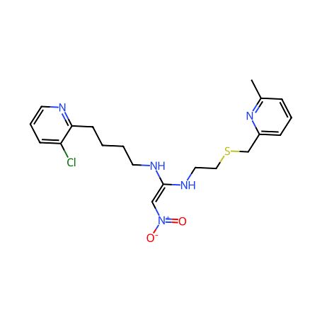 Cc1cccc(CSCCN/C(=C\[N+](=O)[O-])NCCCCc2ncccc2Cl)n1